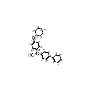 Cl.c1ccc(-c2ccc(Oc3ccc(OC4CCNCC4)cc3)cc2)cc1